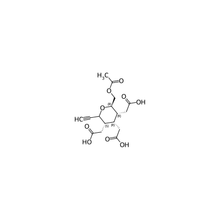 C#CC1O[C@@H](COC(C)=O)[C@H](CC(=O)O)[C@H](CC(=O)O)[C@@H]1CC(=O)O